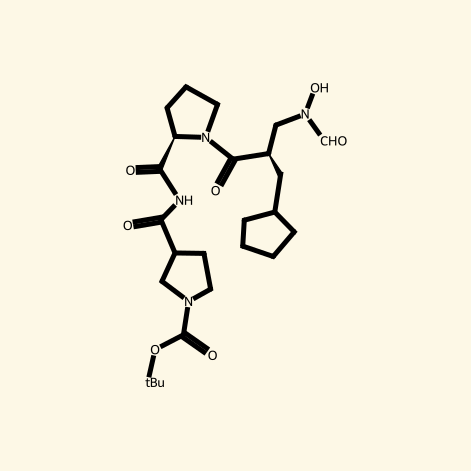 CC(C)(C)OC(=O)N1CCC(C(=O)NC(=O)[C@H]2CCCN2C(=O)[C@H](CC2CCCC2)CN(O)C=O)C1